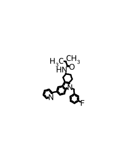 CC(C)C(=O)NC1CCc2c(c3cc(-c4ccccn4)ccc3n2Cc2cccc(F)c2)C1